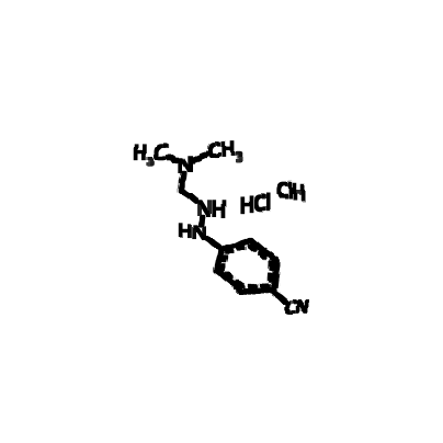 CN(C)CNNc1ccc(C#N)cc1.Cl.Cl